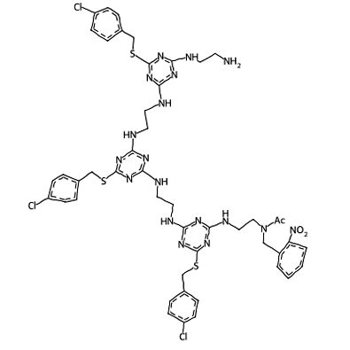 CC(=O)N(CCNc1nc(NCCNc2nc(NCCNc3nc(NCCN)nc(SCc4ccc(Cl)cc4)n3)nc(SCc3ccc(Cl)cc3)n2)nc(SCc2ccc(Cl)cc2)n1)Cc1ccccc1[N+](=O)[O-]